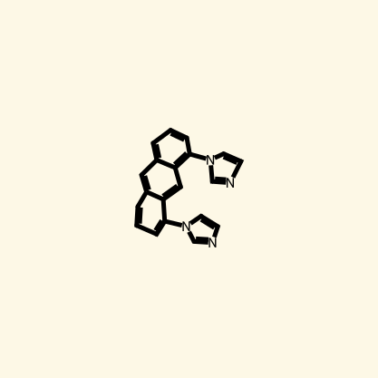 c1cc(-n2ccnc2)c2cc3c(-n4ccnc4)cccc3cc2c1